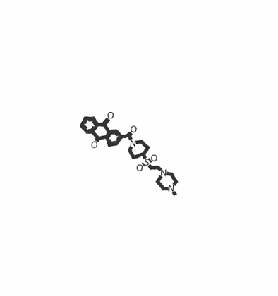 CN1CCN(CCS(=O)(=O)C2CCN(C(=O)c3ccc4c(c3)C(=O)c3ccccc3C4=O)CC2)CC1